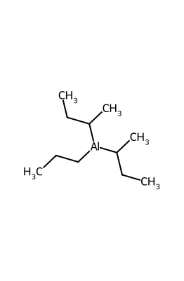 CC[CH2][Al]([CH](C)CC)[CH](C)CC